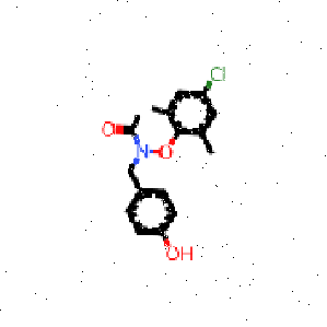 CC(=O)N(Cc1ccc(O)cc1)Oc1c(C)cc(Cl)cc1C